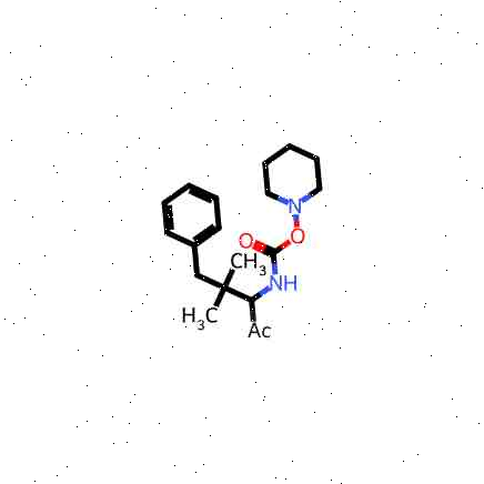 CC(=O)C(NC(=O)ON1CCCCC1)C(C)(C)Cc1ccccc1